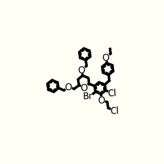 CCOc1ccc(Cc2cc(C3CC(OCc4ccccc4)CC(COCc4ccccc4)O3)c(Br)c(OCCCl)c2Cl)cc1